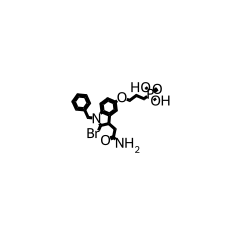 NC(=O)CC1c2cc(OCCCP(=O)(O)O)ccc2N(Cc2ccccc2)C1Br